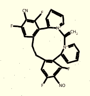 C=C1[n+]2ccccc2-c2c(cc(F)c(C#N)c2F)CCc2cc(F)c(N=O)c(F)c2-c2cccc[n+]21